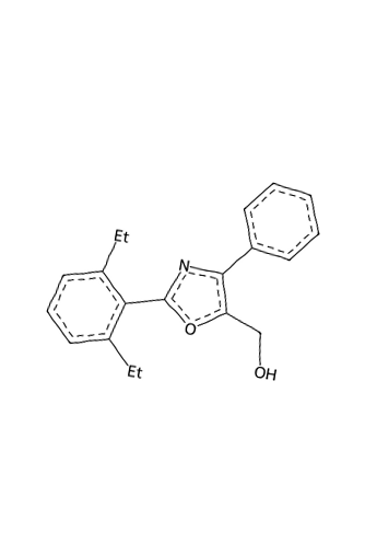 CCc1cccc(CC)c1-c1nc(-c2ccccc2)c(CO)o1